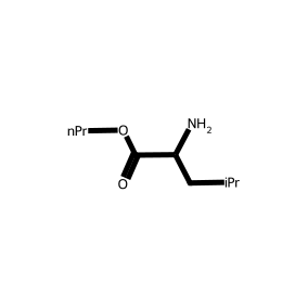 CCCOC(=O)C(N)CC(C)C